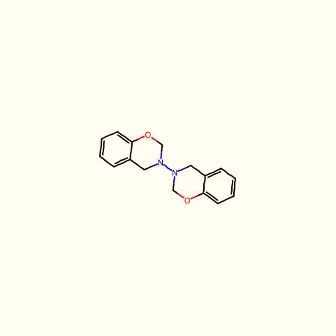 c1ccc2c(c1)CN(N1COc3ccccc3C1)CO2